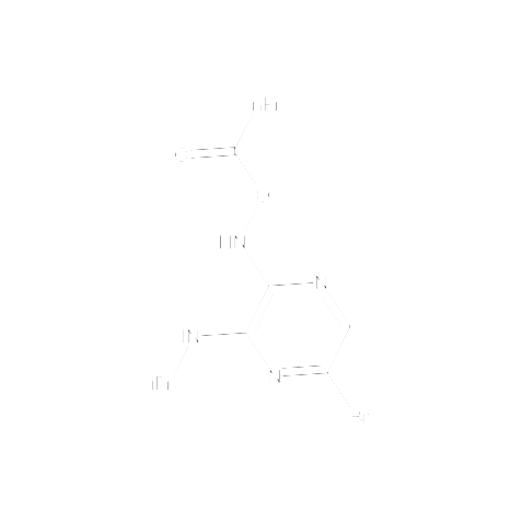 CCCC(=O)ONc1ncc(Br)nc1NC(C)C